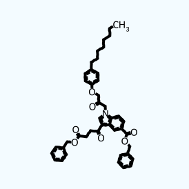 CCCCCCCCc1ccc(OCC(=O)Cn2cc(C(=O)CCC(=O)OCc3ccccc3)c3cc(C(=O)OCc4ccccc4)ccc32)cc1